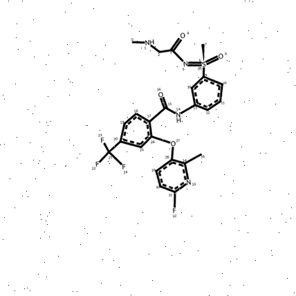 CNCC(=O)N=[S@](C)(=O)c1cccc(NC(=O)c2ccc(C(F)(F)F)cc2Oc2ccc(F)nc2C)c1